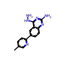 Cc1ccc(-c2ccc3nc(N)nc(NN)c3c2)nc1